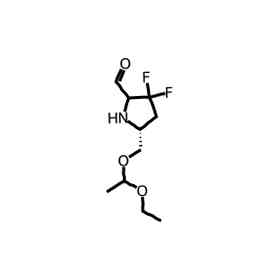 CCOC(C)OC[C@H]1CC(F)(F)C(C=O)N1